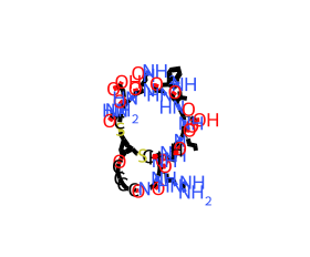 CCCC[C@@H]1NC(=O)[C@@H]2CCCN2C(=O)[C@@H]2CSCc3cc(cc(c3)OCCCCCCO/N=C/C(=O)N[C@@H](CCCNC(=N)N)C(=O)N2)CSC[C@@H](C(N)=O)NC(=O)[C@H](CCC(=O)O)NC(=O)[C@H](CCC(N)=O)NC(=O)[C@H](Cc2c[nH]c3ccccc23)NC(=O)C(C(C)C)NC(=O)[C@H](CC(=O)O)NC1=O